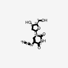 [N-]=[N+]=Nc1cn([C@H]2C[C@H](O)[C@@H](CO)O2)c(=O)[nH]c1=O